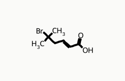 CC(C)(Br)C/C=C/C(=O)O